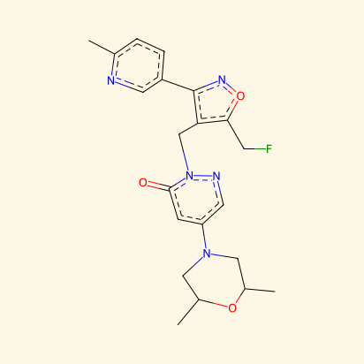 Cc1ccc(-c2noc(CF)c2Cn2ncc(N3CC(C)OC(C)C3)cc2=O)cn1